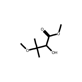 COC(=O)C(O)C(C)(C)OC